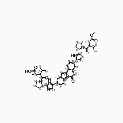 COC(=O)NC(C(=O)N1CCC[C@H]1c1ncc(-c2ccc3c(c2)[nH]c(=O)n2c4ccc(-c5cnc([C@@H]6CCCN6C(=O)C(NC(=O)O)C(C)C)[nH]5)cc4cc32)[nH]1)C(C)C